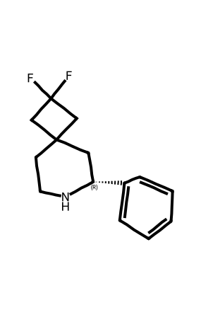 FC1(F)CC2(CCN[C@@H](c3ccccc3)C2)C1